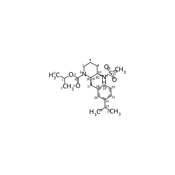 CC(C)OC(=O)N1CCC[C@@H](NS(C)(=O)=O)[C@H]1Cc1cccc(C(C)C)c1